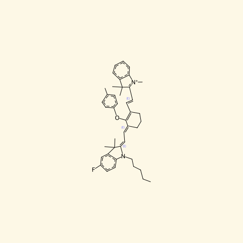 CCCCCN1/C(=C/C=C2\CCCC(/C=C/C3=[N+](C)c4ccccc4C3(C)C)=C2Oc2ccc(C)cc2)C(C)(C)c2cc(F)ccc21